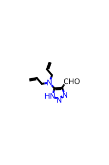 C=CCN(CC=C)c1[nH]nnc1C=O